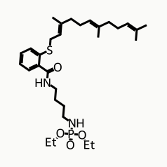 CCOP(=O)(NCCCCNC(=O)c1ccccc1SC/C=C(\C)CC/C=C(\C)CCC=C(C)C)OCC